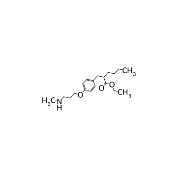 CCCCC(Cc1ccc(OCCCNC)cc1)C(=O)OCC